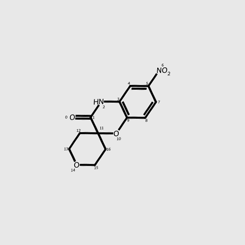 O=C1Nc2cc([N+](=O)[O-])ccc2OC12CCOCC2